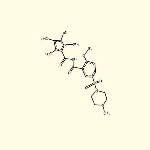 CCCc1c(C=O)c(C)c(C(=O)NC(=O)c2cc(S(=O)(=O)N3CCN(C)CC3)ccc2OCC)n1N